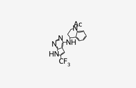 CC(=O)N1CCC(Nc2ncnc3[nH]c(C(F)(F)F)cc23)c2ccccc21